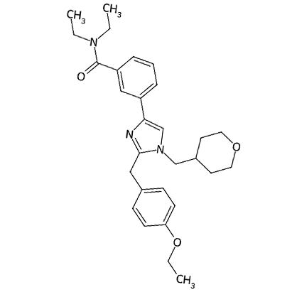 CCOc1ccc(Cc2nc(-c3cccc(C(=O)N(CC)CC)c3)cn2CC2CCOCC2)cc1